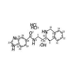 Cl.Cl.O=C(NC[C@@H](O)[C@@H]1Cc2ccccc2CN1)c1ccc2[nH]cnc2c1